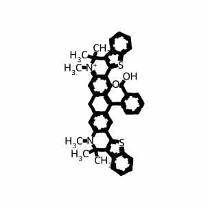 CN1c2cc3c(cc2-c2sc4ccccc4c2C1(C)C)C(c1ccccc1C(=O)O)=c1cc2c(cc1C3)=[N+](C)C(C)(C)c1c-2sc2ccccc12